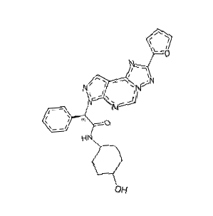 O=C(NC1CCC(O)CC1)[C@@H](c1ccccc1)n1ncc2c1ncn1nc(-c3ccco3)nc21